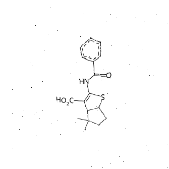 CC1(C)CCC2SC(NC(=O)c3ccccc3)=C(C(=O)O)C21